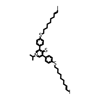 CC(C)n1cc(-c2ccc(SCCCCCCCC=CI)cc2)c(=S)c(-c2ccc(SCCCCCCCC=CI)cc2)c1